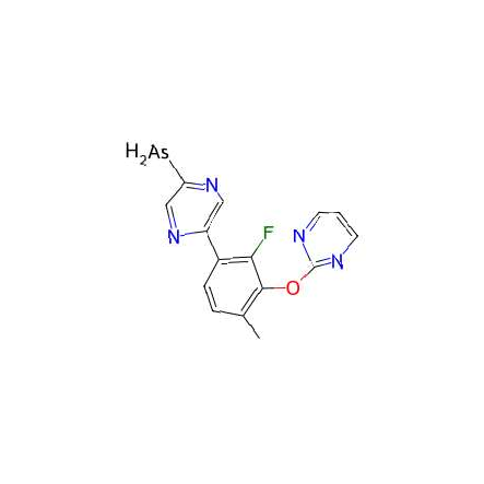 Cc1ccc(-c2cnc([AsH2])cn2)c(F)c1Oc1ncccn1